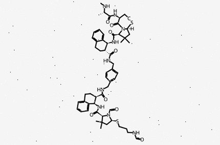 CN[C@@H](C)C(=O)N[C@H]1CCS[C@H]2CC(C)(C)[C@@H](C(=O)N[C@@H]3c4ccccc4CC[C@H]3C(=O)NCc3ccc(CNC(=O)[C@@H]4CCc5ccccc5[C@@H]4NC(=O)[C@H]4N(C=O)[C@@H](SCCCNC=O)CC4(C)C)cc3)N2C1=O